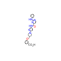 O=C(O)c1cccc(OCC2CCN(c3ccc(NC(=O)c4ccnc(Nc5ccccc5)n4)cn3)CC2)c1